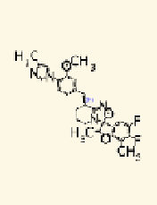 COc1cc(/C=C2\CCCN3C2=NOC3(C(C)=O)c2cc(C)c(F)c(F)c2)ccc1-n1cnc(C)c1